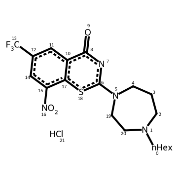 CCCCCCN1CCCN(c2nc(=O)c3cc(C(F)(F)F)cc([N+](=O)[O-])c3s2)CC1.Cl